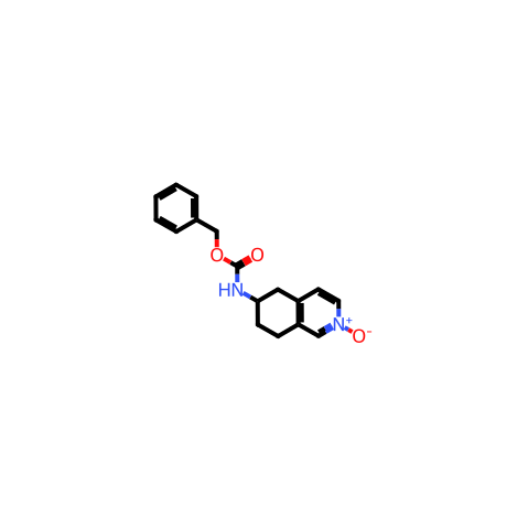 O=C(NC1CCc2c[n+]([O-])ccc2C1)OCc1ccccc1